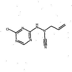 C=CCN(C#N)Nc1ncnc(Cl)n1